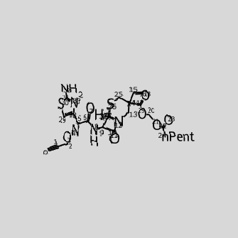 C#CCON=C(C(=O)NC1C(=O)N2CC(C=C)(C(=O)OCOC(=O)CCCCC)CS[C@H]12)c1csc(N)n1